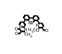 COc1nc(-c2cccc(-c3cccc(-c4ccn5c(=O)c(C=O)c(C)nc5c4)c3Cl)c2Cl)ccc1C=O